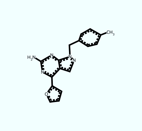 Cc1ccc(Cn2ncc3c(-c4ccco4)nc(N)nc32)cc1